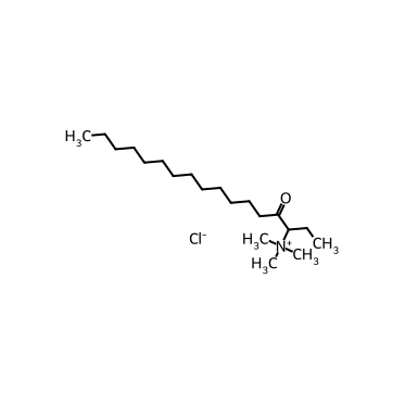 CCCCCCCCCCCCCC(=O)C(CC)[N+](C)(C)C.[Cl-]